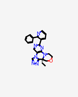 CC[C@@]12COCCN1c1nc(-c3cccnc3-c3ccccc3)ncc1-n1cnnc12